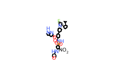 O=C(NS(=O)(=O)c1ccc(NCC2CCOCC2)c([N+](=O)[O-])c1)c1ccc(-c2ccc(N3C[C@H](F)C[C@H]3c3ccccc3C3CC3)cc2)cc1Oc1cnc2[nH]ccc2c1